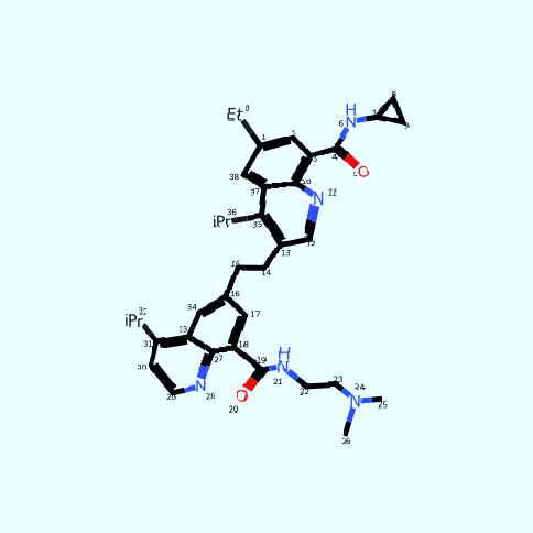 CCc1cc(C(=O)NC2CC2)c2ncc(CCc3cc(C(=O)NCCN(C)C)c4nccc(C(C)C)c4c3)c(C(C)C)c2c1